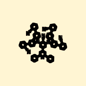 N#Cc1ccccc1-c1ccc2c(c1)c1cc(-c3ccccc3C#N)ccc1n2-c1cc(-c2cc(-c3ccccc3)nc(-c3ccccc3)c2)cc(-n2c3ccc(-c4ccccc4C#N)cc3c3cc(-c4ccccc4C#N)ccc32)c1C#N